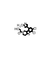 Cn1cc(-c2cc(Cl)c(Cl)c3sc4c(c23)CN(C(=O)CO)CC4)cn1